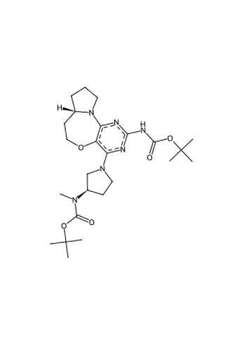 CN(C(=O)OC(C)(C)C)[C@@H]1CCN(c2nc(NC(=O)OC(C)(C)C)nc3c2OCC[C@@H]2CCCN32)C1